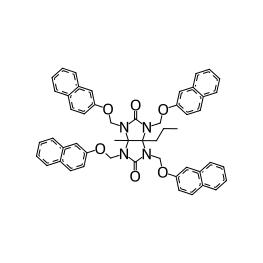 CCCC12N(COc3ccc4ccccc4c3)C(=O)N(COc3ccc4ccccc4c3)C1(C)N(COc1ccc3ccccc3c1)C(=O)N2COc1ccc2ccccc2c1